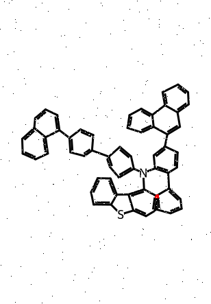 c1ccc(-c2ccc(-c3cc4ccccc4c4ccccc34)cc2N(c2ccc(-c3ccc(-c4cccc5ccccc45)cc3)cc2)c2cccc3sc4ccccc4c23)cc1